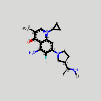 CCN[C@@H](C)[C@@H]1CCN(c2cc3c(c(N)c2F)c(=O)c(C(=O)O)cn3C2CC2)C1